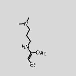 CC/C=C(/NCCCN(C)C)OC(C)=O